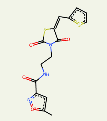 Cc1cc(C(=O)NCCN2C(=O)SC(=Cc3cccs3)C2=O)no1